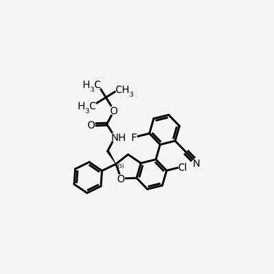 CC(C)(C)OC(=O)NC[C@@]1(c2ccccc2)Cc2c(ccc(Cl)c2-c2c(F)cccc2C#N)O1